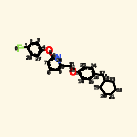 Fc1ccc(Oc2cccc(COc3ccc([CH]C4CCCCC4)cc3)n2)cc1